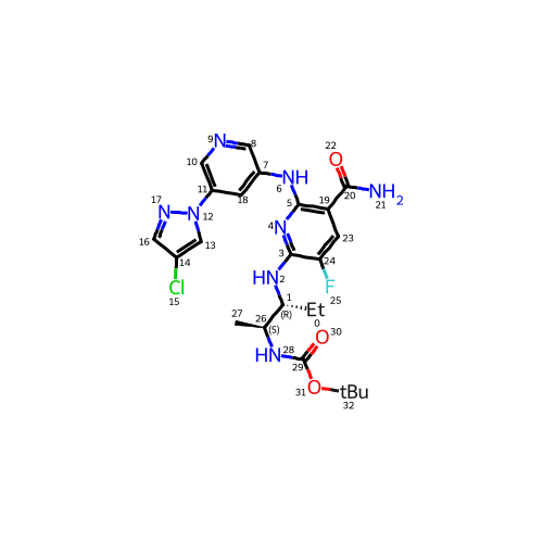 CC[C@@H](Nc1nc(Nc2cncc(-n3cc(Cl)cn3)c2)c(C(N)=O)cc1F)[C@H](C)NC(=O)OC(C)(C)C